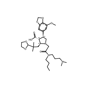 CCCCN(CCCN(C)C)C(=O)CN1C[C@H](c2cc(OC)c3c(c2)OCO3)[C@@H](C(=O)O)[C@@H]1CC(C)(C)C1OCCO1